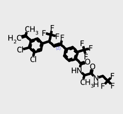 C=C(C)c1cc(C(/C=C(\F)c2ccc(C(=O)NC(C)C(=O)NCC(F)(F)F)c(C(F)(F)F)c2)C(F)(F)F)cc(Cl)c1Cl